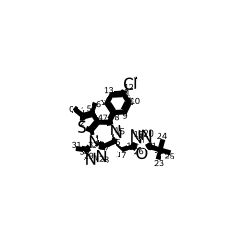 Cc1sc2c(c1C)C(c1ccc(Cl)cc1)=N[C@@H](Cc1nnc(C(C)(C)C)o1)c1nnc(C)n1-2